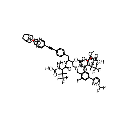 COC(=O)NC(C(=O)NN(Cc1c(F)cc(-c2ccn(C(F)F)n2)cc1F)CC(OC(=O)OCOP(=O)(O)O)C(Cc1ccc(C#Cc2cnc(N3CC4CCC(C3)N4C3COC3)nc2)cc1)NC(=O)C(NC(=O)O)C(C)(C)C(F)(F)F)C(C)(C)C(F)(F)F